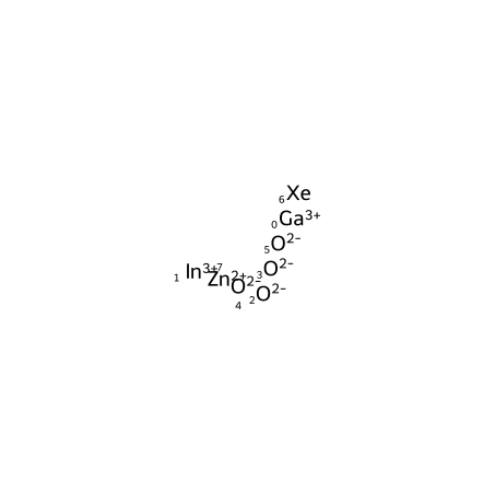 [Ga+3].[In+3].[O-2].[O-2].[O-2].[O-2].[Xe].[Zn+2]